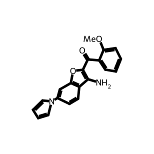 COc1ccccc1C(=O)c1oc2cc(-n3cccc3)ccc2c1N